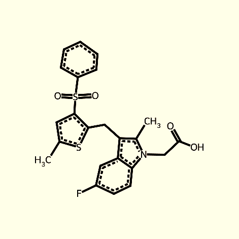 Cc1cc(S(=O)(=O)c2ccccc2)c(Cc2c(C)n(CC(=O)O)c3ccc(F)cc23)s1